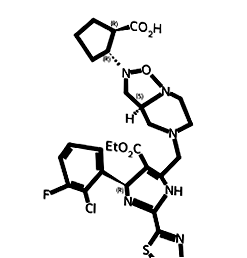 CCOC(=O)C1=C(CN2CCN3ON([C@@H]4CCC[C@H]4C(=O)O)C[C@@H]3C2)NC(c2nccs2)=N[C@H]1c1cccc(F)c1Cl